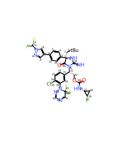 CC(C)(C)C[C@]1(c2ccc(-c3cnn(C(F)F)c3)cc2)NC(=N)N([C@H](COC(=O)N[C@@H]2C[C@H]2F)c2ccc(Cl)c(N3N=CN=CC3(F)F)c2)C1=O